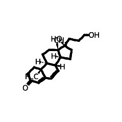 C[C@]12CCC(=O)C=C1C=C[C@@H]1[C@@H]2CC[C@@]2(C)[C@H]1CC[C@@]2(O)CCCO